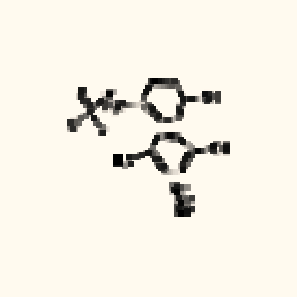 Cc1ccc(O)cc1.Cc1ccc(O)cc1.[Na+].[Na+].[Na+].[O-]P([O-])(=S)[S-]